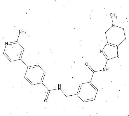 Cc1cc(-c2ccc(C(=O)NCc3cccc(C(=O)Nc4nc5c(s4)CCN(C)C5)c3)cc2)ccn1